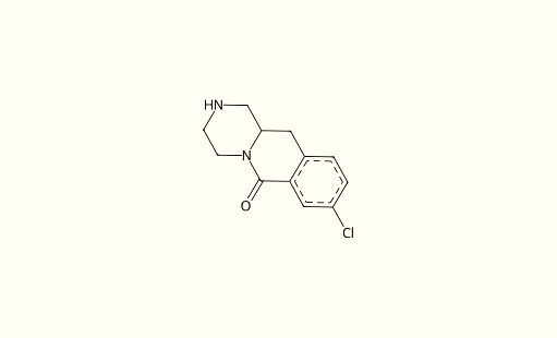 O=C1c2cc(Cl)ccc2CC2CNCCN12